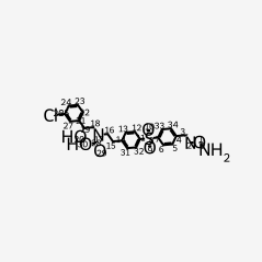 NON=Cc1ccc(S(=O)(=O)c2ccc(CCN(C[C@H](O)c3cccc(Cl)c3)C(=O)O)cc2)cc1